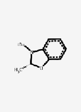 C[C@H]1Oc2ccccc2N1C(C)(C)C